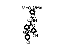 COc1cc2nc(NC(=O)C(Oc3ccc(C#N)cc3)c3cccc(S(=O)(=O)c4ccc(Cl)cc4)c3)sc2cc1OC